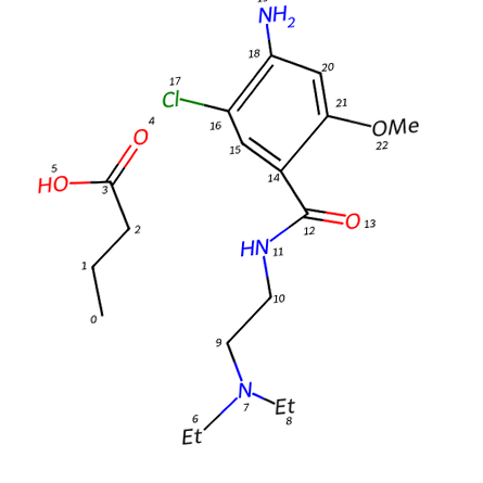 CCCC(=O)O.CCN(CC)CCNC(=O)c1cc(Cl)c(N)cc1OC